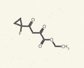 CCOC(=O)C(=O)CC(=O)C1(F)CC1